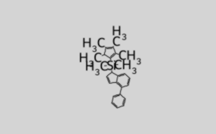 CC1=C(C)C(C)C([Si](C)(C)C2C=Cc3c(-c4ccccc4)cccc32)=C1C